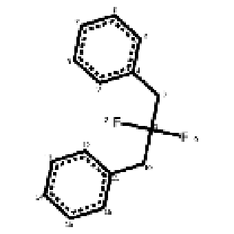 FC(F)(Cc1ccccc1)Cc1ccccc1